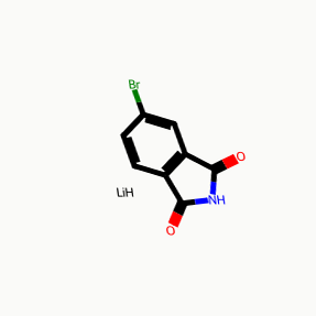 O=C1NC(=O)c2cc(Br)ccc21.[LiH]